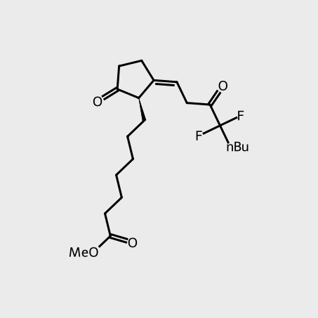 CCCCC(F)(F)C(=O)C/C=C1/CCC(=O)[C@@H]1CCCCCCC(=O)OC